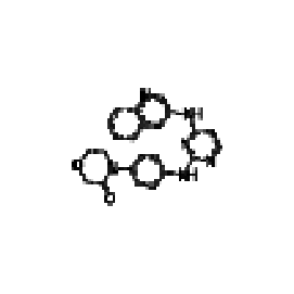 O=C1COCCN1c1ccc(Nc2nccc(Nc3cnc4ccccc4c3)n2)cc1